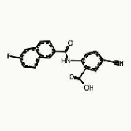 N#Cc1ccc(NC(=O)c2ccc3cc(F)ccc3c2)c(C(=O)O)c1